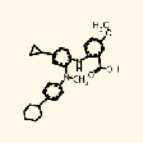 COc1ccc(Nc2ccc(C3CC3)cc2N(C)c2ccc(C3CCCCC3)cc2)c(C(=O)O)c1